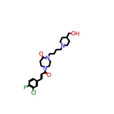 O=C(/C=C/c1ccc(F)c(Cl)c1)N1CCC(=O)N(CCCCN2CCC(CO)CC2)CC1